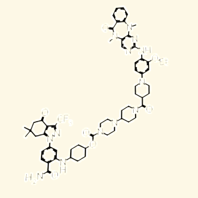 CCOc1cc(N2CCC(C(=O)N3CCC(N4CCN(C(=O)OC5CCC(Nc6cc(-n7nc(C(F)(F)F)c8c7CC(C)(C)CC8=O)ccc6C(N)=O)CC5)CC4)CC3)CC2)ccc1Nc1ncc2c(n1)N(C)c1ccccc1C(=O)N2C